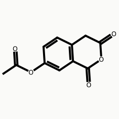 CC(=O)Oc1ccc2c(c1)C(=O)OC(=O)C2